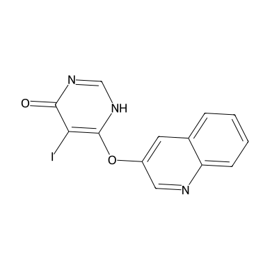 O=c1nc[nH]c(Oc2cnc3ccccc3c2)c1I